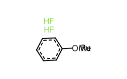 COc1ccccc1.F.F.[Ru]